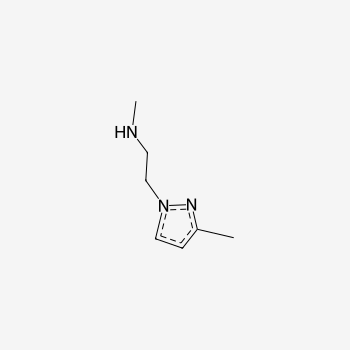 CNCCn1ccc(C)n1